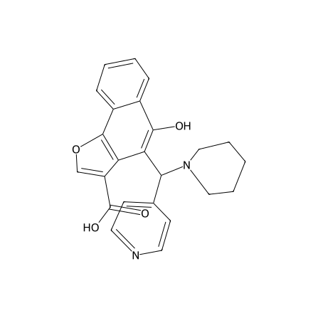 O=C(O)c1coc2c1c(C(c1ccncc1)N1CCCCC1)c(O)c1ccccc12